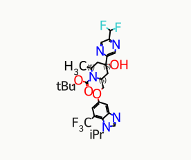 CC(C)n1cnc2cc(OC[C@@H]3C[C@](O)(c4cnc(C(F)F)cn4)C[C@H](C)N3C(=O)OC(C)(C)C)cc(C(F)(F)F)c21